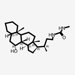 CNC(=O)NCC[C@@H](C)[C@H]1CC[C@H]2[C@H]3C(CC[C@]12C)[C@@]1(C)CCCC[C@H]1C[C@H]3O